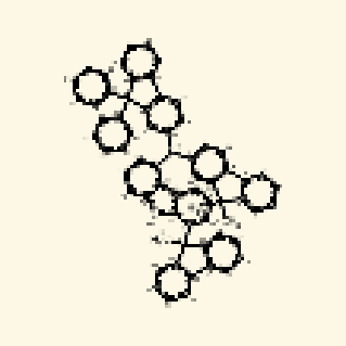 CC1(C)c2ccccc2-c2ccc(N(c3ccc4c(c3)C(c3ccccc3)(c3ccccc3)c3ccccc3-4)c3cccc4oc5c(C6(C)c7ccccc7-c7ccccc76)cccc5c34)cc21